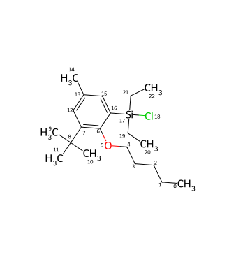 CCCCCOc1c(C(C)(C)C)cc(C)cc1[Si](Cl)(CC)CC